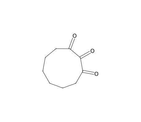 O=C1CCCCCCC(=O)C1=O